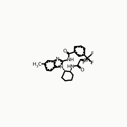 C=CC(=O)N[C@H]1CCCC[C@H]1n1c(NC(=O)c2cccc(C(F)(F)F)c2)nc2cc(C)ccc21